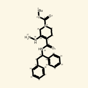 CC(C)(C)OC(=O)N1CCC(C(=O)NC(Cc2ccccc2)c2ccccc2)=C(NN)C1